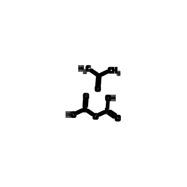 CC(C)=O.O=S(O)OS(=O)O